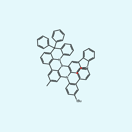 Cc1cc2c3c(c1)N(c1ccc(C(C)(C)C)cc1-c1ccccc1)c1cc4sc5ccccc5c4cc1B3N1c3ccccc3C(c3ccccc3)(c3ccccc3)c3cccc-2c31